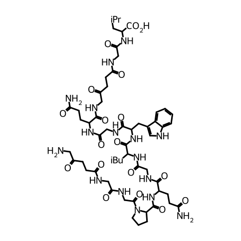 CCC(C)C(NC(=O)CNC(=O)C(CCC(N)=O)NC(=O)C1CCCN1C(=O)CNC(=O)CNC(=O)CCC(=O)CN)C(=O)NC(Cc1c[nH]c2ccccc12)C(=O)NCC(=O)NC(CCC(N)=O)C(=O)NCC(=O)CCC(=O)NCC(=O)NC(CC(C)C)C(=O)O